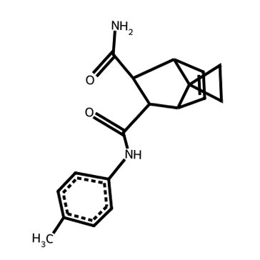 Cc1ccc(NC(=O)C2C(C(N)=O)C3C=CC2C32CC2)cc1